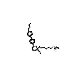 C=CC(=O)OCCCCCCC1(C#N)CCCC(c2ccc(-c3ccc(CCCC)cc3)cc2)C1